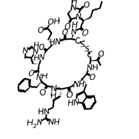 CCCC[C@@H](C(=O)N[C@H]1CSSC[C@@H](C(C)=O)NC(=O)[C@H](Cc2c[nH]c3ccccc23)NC(=O)[C@H](CCCNC(=N)N)NC(=O)[C@@H](Cc2ccccc2)NC(=O)[C@H](CC2CN=CN2)NC(=O)[C@H](CCC(=O)O)NC1=O)N1C(=O)CNC1=O